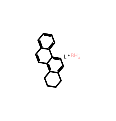 [BH4-].[Li+].c1ccc2c(c1)ccc1c3c(ccc12)CCCC3